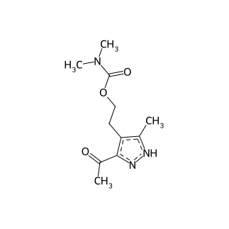 CC(=O)c1n[nH]c(C)c1CCOC(=O)N(C)C